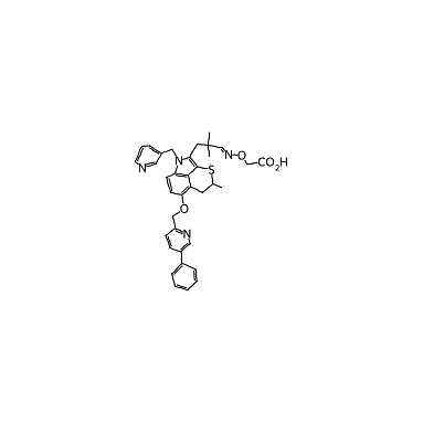 CC1Cc2c(OCc3ccc(-c4ccccc4)cn3)ccc3c2c(c(CC(C)(C)C=NOCC(=O)O)n3Cc2cccnc2)S1